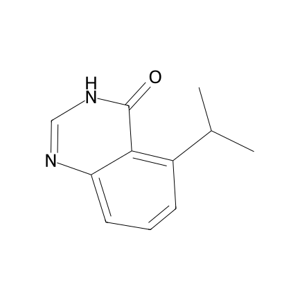 CC(C)c1cccc2nc[nH]c(=O)c12